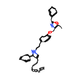 CCOC(=O)CCc1cn(CCc2ccc(OCc3nc(-c4ccccc4)oc3C)cc2)nc1-c1ccccc1